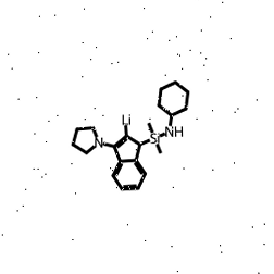 [Li][C]1=C(N2CCCC2)c2ccccc2C1[Si](C)(C)NC1CCCCC1